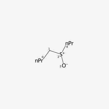 CCCC[S+]([O-])CCC